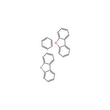 [c]1ccccc1.c1ccc2c(c1)oc1ccccc12.c1ccc2c(c1)sc1ccccc12